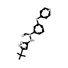 CC(C)(C)c1cc(NN(C=O)c2cccc(Sc3ccncc3)c2)on1